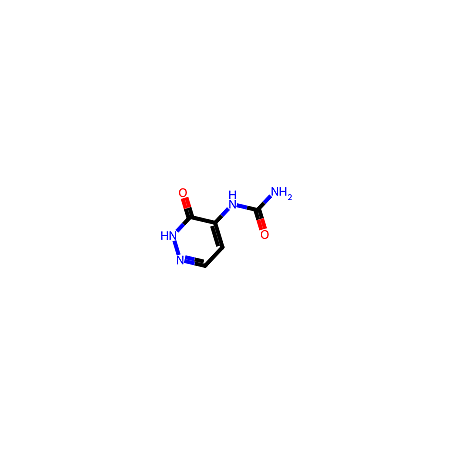 NC(=O)Nc1ccn[nH]c1=O